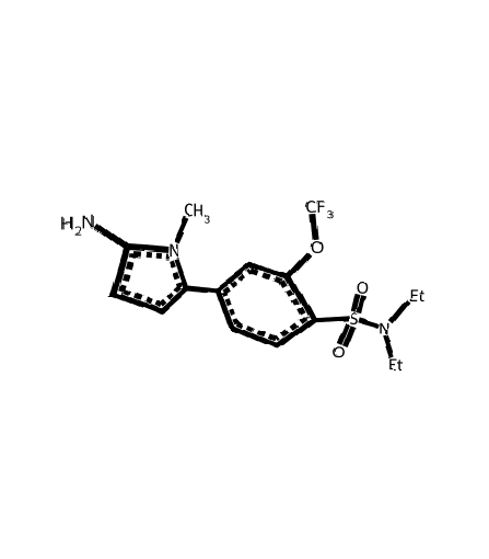 CCN(CC)S(=O)(=O)c1ccc(-c2ccc(N)n2C)cc1OC(F)(F)F